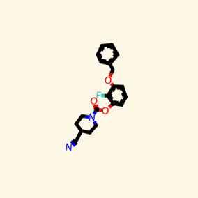 N#CC1CCN(C(=O)Oc2cccc(OCc3ccccc3)c2F)CC1